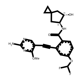 COc1nc(N)ncc1C#Cc1cc(OC(F)F)ccc1C(=O)N[C@H]1CC2(CC2)C[C@@H]1O